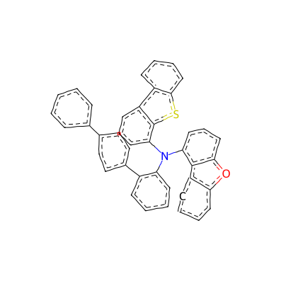 c1ccc(-c2ccc(-c3ccccc3N(c3cccc4c3sc3ccccc34)c3cccc4oc5ccccc5c34)cc2)cc1